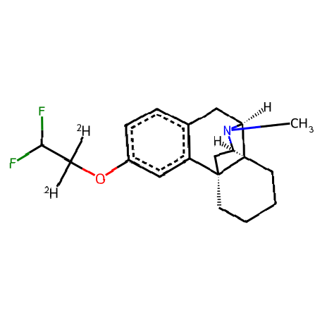 [2H]C([2H])(Oc1ccc2c(c1)[C@]13CCCC[C@@H]1[C@H](C2)N(C)CC3)C(F)F